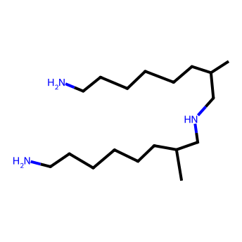 CC(CCCCCCN)CNCC(C)CCCCCCN